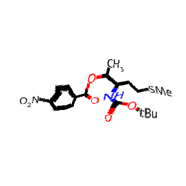 CSCCC(NC(=O)OC(C)(C)C)C(C)OC(=O)c1ccc([N+](=O)[O-])cc1